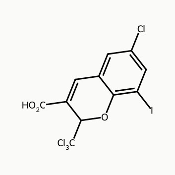 O=C(O)C1=Cc2cc(Cl)cc(I)c2OC1C(Cl)(Cl)Cl